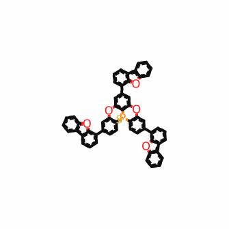 S=P12c3ccc(-c4cccc5c4oc4ccccc45)cc3Oc3cc(-c4cccc5c4oc4ccccc45)cc(c31)Oc1cc(-c3cccc4c3oc3ccccc34)ccc12